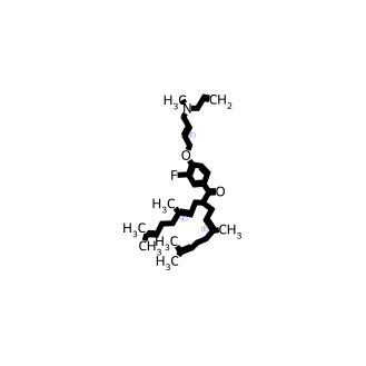 C=CCN(C)C/C=C/COc1ccc(C(=O)C(C/C=C(\C)CCC=C(C)C)C/C=C(\C)CCC=C(C)C)cc1F